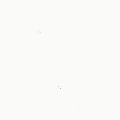 c1cc(-c2ccc(N(c3ccc4c(c3)oc3ccccc34)c3ccc4oc5ccccc5c4c3)cc2)cc(-c2ccccc2-n2c3ccccc3c3ccccc32)c1